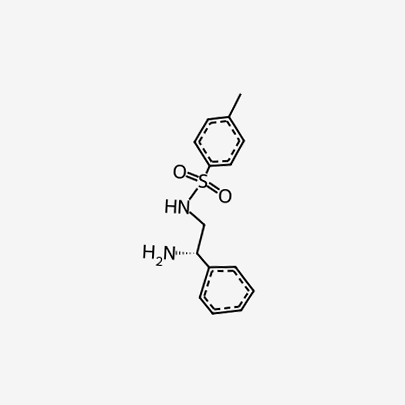 Cc1ccc(S(=O)(=O)NC[C@@H](N)c2ccccc2)cc1